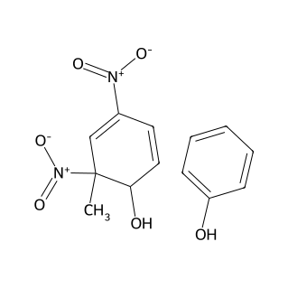 CC1([N+](=O)[O-])C=C([N+](=O)[O-])C=CC1O.Oc1ccccc1